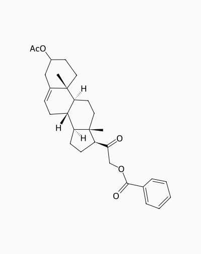 CC(=O)OC1CC[C@@]2(C)C(=CC[C@H]3[C@@H]4CC[C@H](C(=O)COC(=O)c5ccccc5)[C@@]4(C)CC[C@@H]32)C1